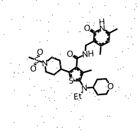 CCN(c1sc(C2CCN(S(C)(=O)=O)CC2)c(C(=O)NCc2c(C)cc(C)[nH]c2=O)c1C)C1CCOCC1